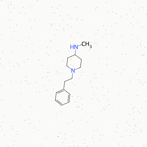 CNC1CCN(CCc2ccccc2)CC1